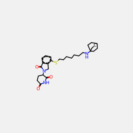 O=C1CCC(N2Cc3c(SCCCCCCCNC45CCC(CC4)CC5)cccc3C2=O)C(=O)N1